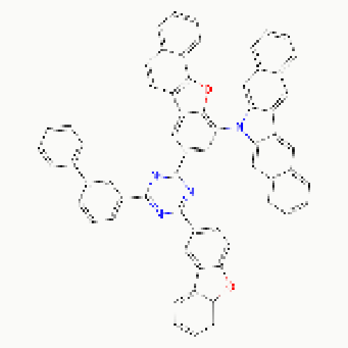 c1ccc(-c2cccc(-c3nc(-c4ccc5oc6ccccc6c5c4)nc(-c4cc(-n5c6cc7ccccc7cc6c6cc7ccccc7cc65)c5oc6c7ccccc7ccc6c5c4)n3)c2)cc1